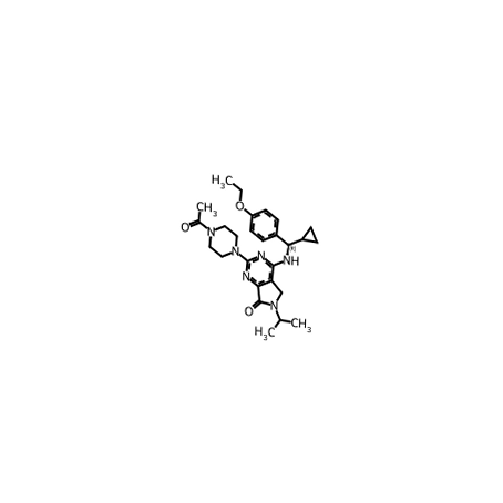 CCOc1ccc([C@H](Nc2nc(N3CCN(C(C)=O)CC3)nc3c2CN(C(C)C)C3=O)C2CC2)cc1